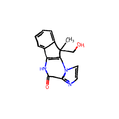 CC1(CO)c2ccccc2-c2[nH]c(=O)c3nccn3c21